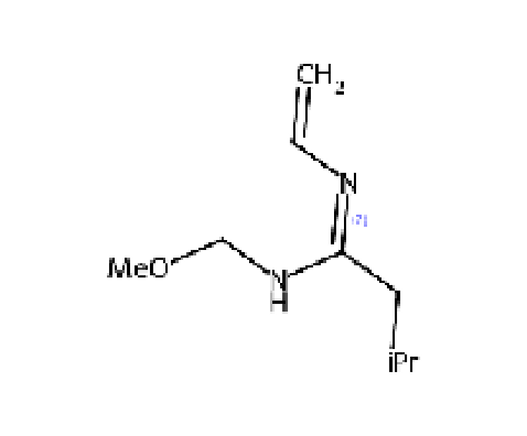 C=C/N=C(/CC(C)C)NCOC